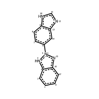 c1ccc2[nH][n+](-c3ccc4[nH]cnc4c3)nc2c1